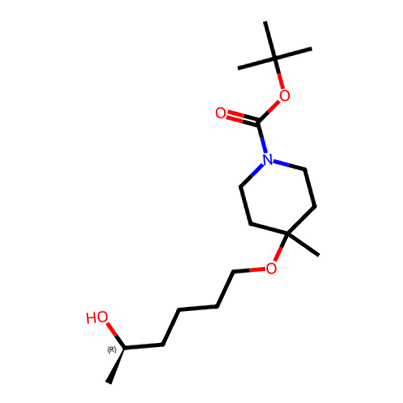 C[C@@H](O)CCCCOC1(C)CCN(C(=O)OC(C)(C)C)CC1